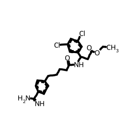 CCOC(=O)CC(NC(=O)CCCCc1ccc(C(=N)N)cc1)c1cc(Cl)cc(Cl)c1